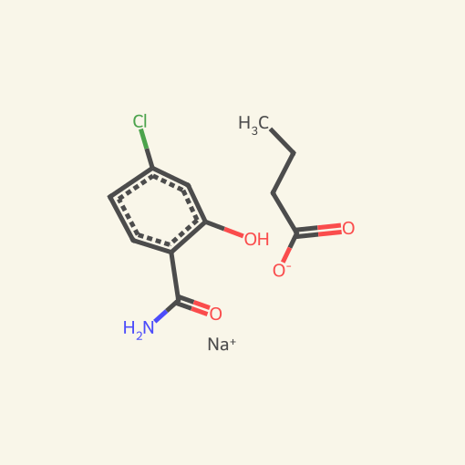 CCCC(=O)[O-].NC(=O)c1ccc(Cl)cc1O.[Na+]